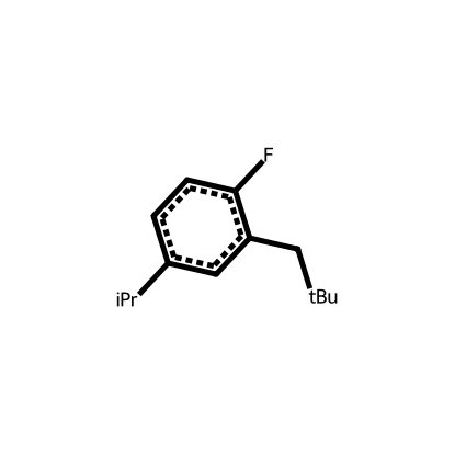 CC(C)c1ccc(F)c(CC(C)(C)C)c1